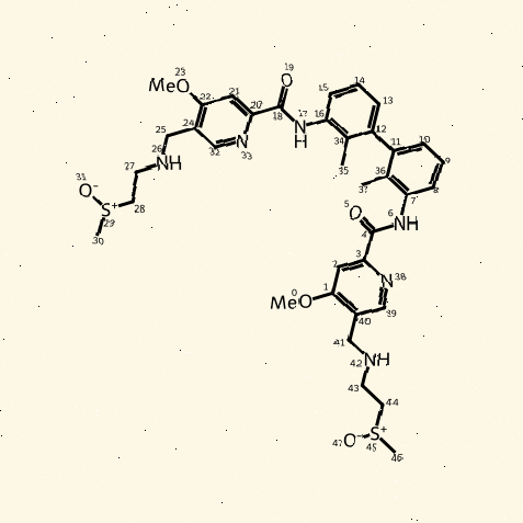 COc1cc(C(=O)Nc2cccc(-c3cccc(NC(=O)c4cc(OC)c(CNCC[S+](C)[O-])cn4)c3C)c2C)ncc1CNCC[S+](C)[O-]